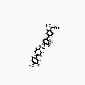 CCCC(O)c1ccc(-c2ccc(OCc3ccc(-c4ccc(O)c(F)c4)cc3)c(F)c2F)cc1